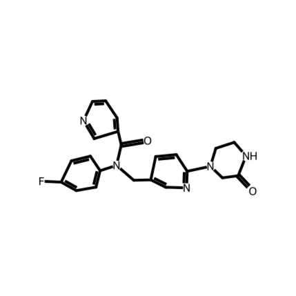 O=C1CN(c2ccc(CN(C(=O)c3cccnc3)c3ccc(F)cc3)cn2)CCN1